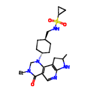 CCN1CN([C@H]2CC[C@H](CNS(=O)(=O)C3CC3)CC2)c2c(cnc3c2CC(C)N3)C1=O